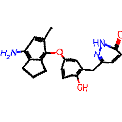 Cc1cc(N)c2c(c1Oc1ccc(O)c(Cc3ccc(=O)[nH]n3)c1)CCC2